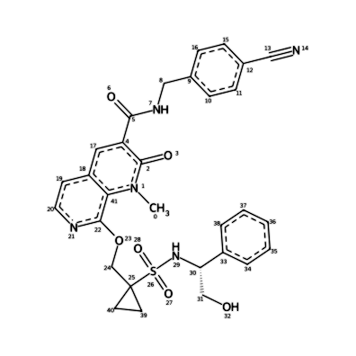 Cn1c(=O)c(C(=O)NCc2ccc(C#N)cc2)cc2ccnc(OCC3(S(=O)(=O)N[C@@H](CO)c4ccccc4)CC3)c21